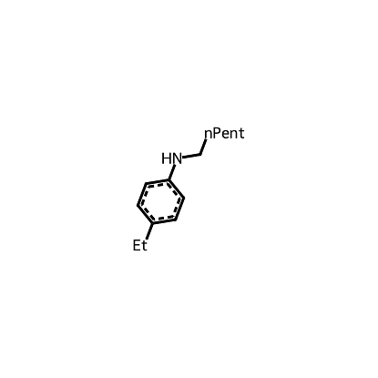 C[CH]CCCCNc1ccc(CC)cc1